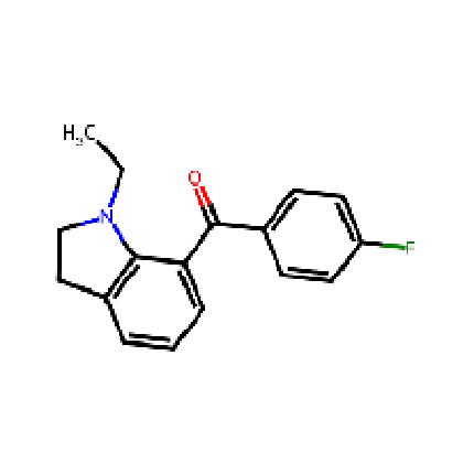 CCN1CCc2cccc(C(=O)c3ccc(F)cc3)c21